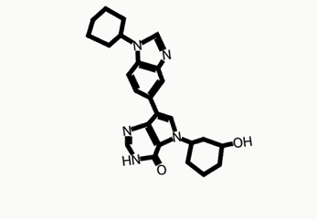 O=c1[nH]cnc2c(-c3ccc4c(c3)ncn4C3CCCCC3)cn(C3CCCC(O)C3)c12